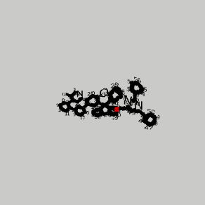 Cc1cnccc1-c1ccccc1-c1cccc(-c2ccc3c(c2)C2(c4ccccc4O3)c3ccccc3-c3ccc(-c4cc(-c5ccccc5)nc(-c5ccccc5)n4)cc32)c1